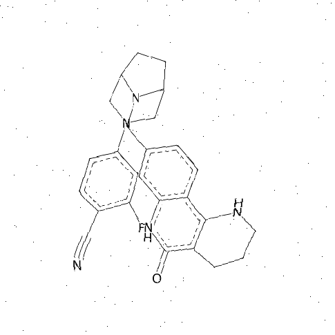 N#Cc1ccc(N2CC3CCC(C2)N3Cc2ccc3c4c(c(=O)[nH]c3c2)CCCN4)cc1F